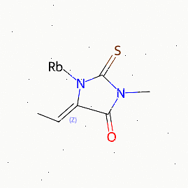 C/C=C1/C(=O)N(C)C(=S)[N]1[Rb]